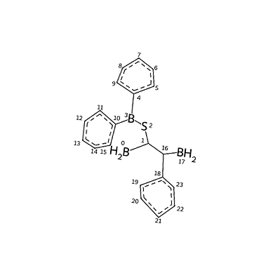 BC(SB(c1ccccc1)c1ccccc1)C(B)c1ccccc1